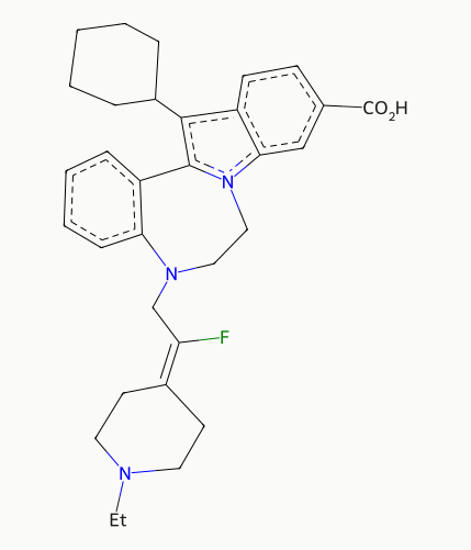 CCN1CCC(=C(F)CN2CCn3c(c(C4CCCCC4)c4ccc(C(=O)O)cc43)-c3ccccc32)CC1